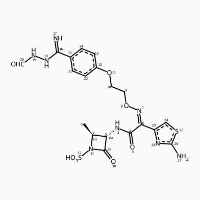 C[C@H]1[C@H](NC(=O)C(=NOCCOc2ccc(C(=N)NNC=O)cc2)c2csc(N)n2)C(=O)N1S(=O)(=O)O